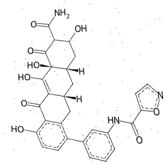 NC(=O)C1C(=O)[C@@]2(O)C(O)=C3C(=O)c4c(O)ccc(-c5cccc(NC(=O)c6ccno6)c5)c4C[C@H]3C[C@H]2CC1O